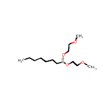 CCCCCCC[SiH](OCCOC)OCCOC